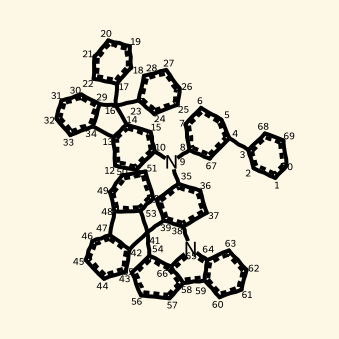 c1ccc(-c2cccc(N(c3ccc4c(c3)C(c3ccccc3)(c3ccccc3)c3ccccc3-4)c3ccc4c(c3)C3(c5ccccc5-c5ccccc53)c3cccc5c6ccccc6n-4c35)c2)cc1